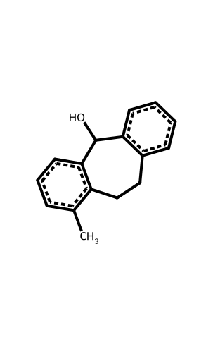 Cc1cccc2c1CCc1ccccc1C2O